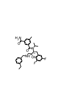 CCc1cccc(CNC[C@@H](O)[C@H](Cc2cc(F)cc(F)c2)N(C(=O)c2cc(C)cc(C(N)=O)c2)C(C)C)c1